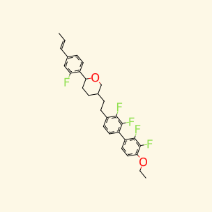 C/C=C/c1ccc(C2CCC(CCc3ccc(-c4ccc(OCC)c(F)c4F)c(F)c3F)CO2)c(F)c1